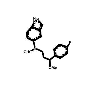 COC(CCN(C=O)c1ccc2[nH]ncc2c1)c1ccc(F)cc1